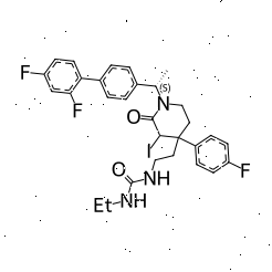 CCNC(=O)NCCC1(c2ccc(F)cc2)CCN([C@@H](C)c2ccc(-c3ccc(F)cc3F)cc2)C(=O)C1I